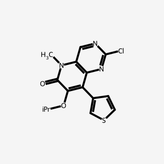 CC(C)Oc1c(-c2ccsc2)c2nc(Cl)ncc2n(C)c1=O